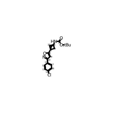 CC(C)(C)OC(=O)NC12CC(c3cc(-c4ccc(Cl)cc4)no3)(C1)C2